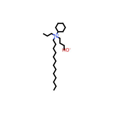 CCCCCCCCCCCCC[N+](CCC)(CCCC)C1CCCCC1.[OH-]